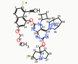 C#Cc1c(F)ccc2cc(OCOC)cc(Oc3nc4nc(OC[C@@]56CCCN5C[C@H](F)C6)nc(N5CC6CCC(C5)N6)c4n3C3CCC3)c12